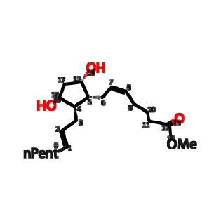 CCCCC/C=C/C[C@@H]1[C@@H](C/C=C\CCCC(=O)OC)[C@@H](O)C[C@H]1O